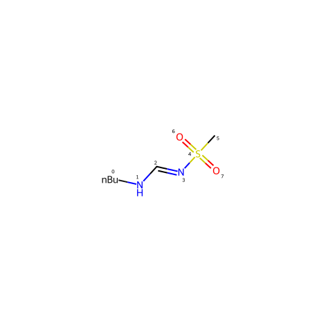 CCCCN/C=N/S(C)(=O)=O